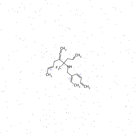 C=C=C(C/C=C/C)C(CC=C)(NCC(/C=C\C=C)=C/C)C(F)(F)F